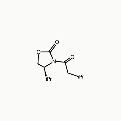 CC(C)CC(=O)N1C(=O)OC[C@@H]1C(C)C